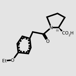 CCOc1ccc(CC(=O)N2CCC[C@H]2C(=O)O)cc1